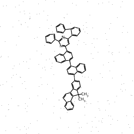 CC1(C)c2ccc(-c3ccc(-c4ccc(-c5cc(-c6ccccc6-c6ccccc6)nc(-c6ccccc6)n5)c5ccccc45)c4ccccc34)cc2-c2ccc3ccccc3c21